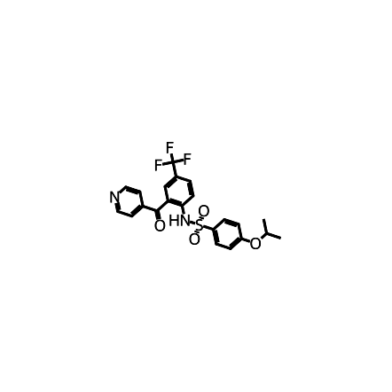 CC(C)Oc1ccc(S(=O)(=O)Nc2ccc(C(F)(F)F)cc2C(=O)c2ccncc2)cc1